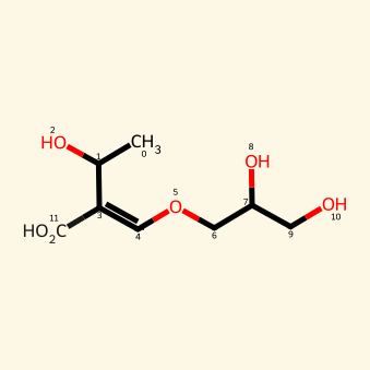 CC(O)C(=[C]OCC(O)CO)C(=O)O